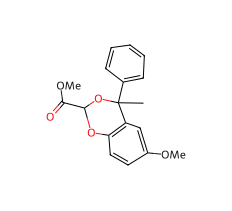 COC(=O)C1Oc2ccc(OC)cc2C(C)(c2ccccc2)O1